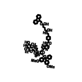 CC[C@@H](O[C@@H](C)COP(=O)(OCCC#N)OC1C[C@H](n2cnc3c(NC(=O)c4ccc(CNC(O)CCCC(O)OCC5c6ccccc6-c6ccccc65)cc4)ncnc32)O[C@@H]1COC(c1ccccc1)(c1ccc(OC)cc1)c1ccc(OC)cc1)N1C=C(C)C(O)NC1=O